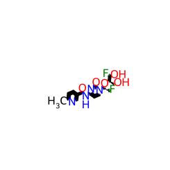 Cc1ccc(C(=O)Nc2ccn([C@@H](CF)O[C@H](CO)[C@@H](O)F)c(=O)n2)cn1